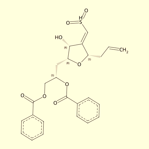 C=CC[C@@H]1O[C@H](C[C@@H](COC(=O)c2ccccc2)OC(=O)c2ccccc2)[C@H](O)C1=C[SH](=O)=O